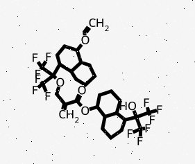 C=COC1CCC(C(OCC(=C)C(=O)OC2CCCC3C2CCCC3C(O)(C(F)(F)F)C(F)(F)F)(C(F)(F)F)C(F)(F)F)C2CCCCC12